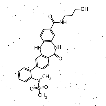 CN(c1ccccc1-c1ccc2c(c1)Nc1ccc(C(=O)NCCCO)cc1NC2=O)S(C)(=O)=O